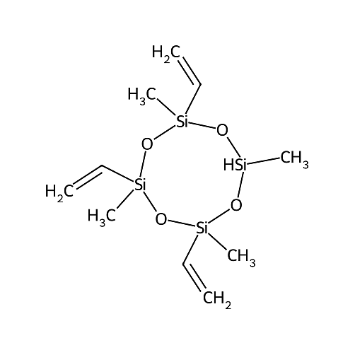 C=C[Si]1(C)O[SiH](C)O[Si](C)(C=C)O[Si](C)(C=C)O1